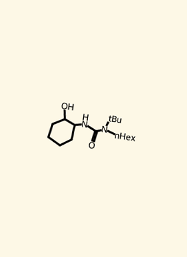 CCCCCCN(C(=O)NC1CCCCC1O)C(C)(C)C